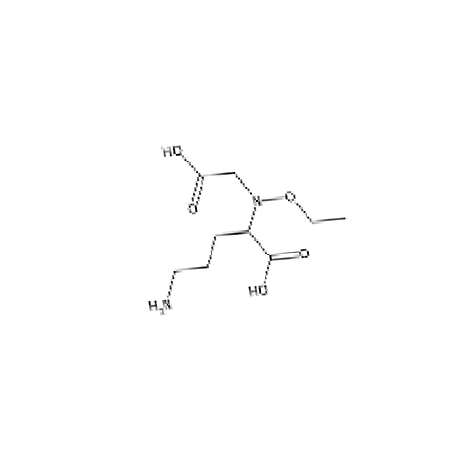 CCON(CC(=O)O)C(CCCN)C(=O)O